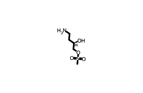 CS(=O)(=O)OC[C@H](O)CCN